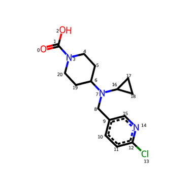 O=C(O)N1CCC(N(Cc2ccc(Cl)nc2)C2CC2)CC1